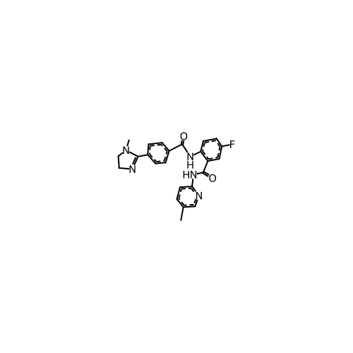 Cc1ccc(NC(=O)c2cc(F)ccc2NC(=O)c2ccc(C3=NCCN3C)cc2)nc1